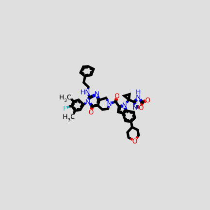 Cc1cc(-n2c(NCCc3ccccc3)nc3c(c2=O)CCN(C(=O)c2cc4cc(C5CCOCC5)ccc4n2C2(c4noc(=O)[nH]4)CC2)C3)cc(C)c1F